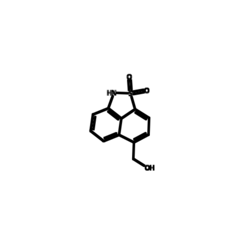 O=S1(=O)Nc2cccc3c(CO)ccc1c23